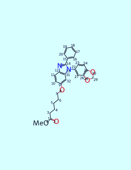 COC(=O)CCCCCOc1ccc2nc(-c3ccccc3)n(-c3ccc4c(c3)OCO4)c2c1